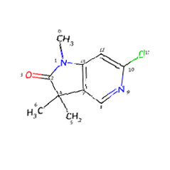 CN1C(=O)C(C)(C)c2cnc(Cl)cc21